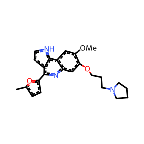 COc1cc2c(cc1OCCCN1CCCC1)nc(-c1ccc(C)o1)c1cc[nH]c12